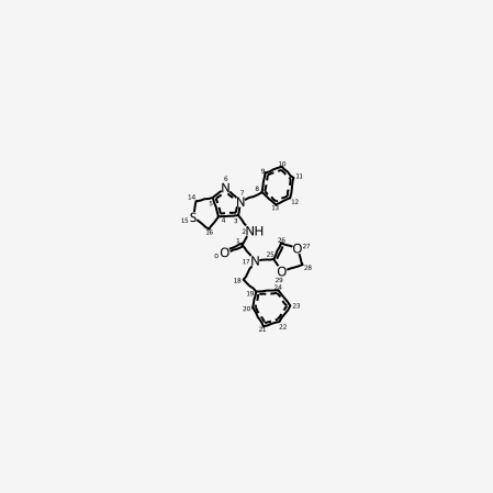 O=C(Nc1c2c(nn1-c1ccccc1)CSC2)N(Cc1ccccc1)C1=COCO1